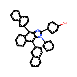 Oc1ccc(-c2nc3c(-c4ccc5ccccc5c4)c4ccccc4c(-c4ccc5ccccc5c4)c3n2-c2ccccc2)cc1